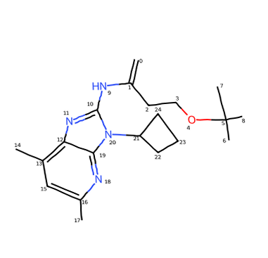 C=C(CCOC(C)(C)C)Nc1nc2c(C)cc(C)nc2n1C1CCC1